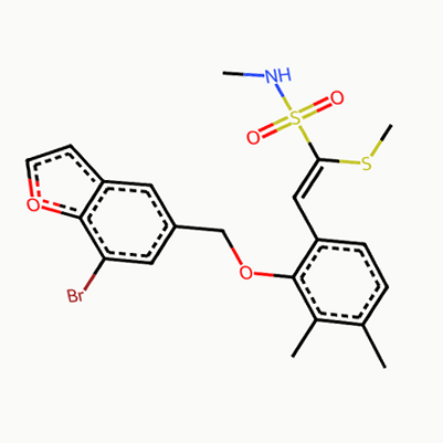 CNS(=O)(=O)/C(=C/c1ccc(C)c(C)c1OCc1cc(Br)c2occc2c1)SC